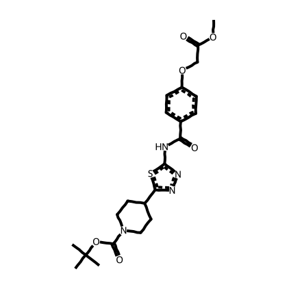 COC(=O)COc1ccc(C(=O)Nc2nnc(C3CCN(C(=O)OC(C)(C)C)CC3)s2)cc1